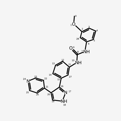 COc1cccc(NC(=O)Nc2cccc(-c3n[nH]cc3-c3ccncc3)c2)c1